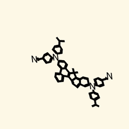 CC(C)c1ccc(N(c2ccc(C#N)cc2)c2ccc3c4c(ccc3c2)-c2c(c3ccc(N(c5ccc(C#N)cc5)c5ccc(C(C)C)cc5)cc3c3ccccc23)C4(C)C)cc1